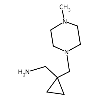 CN1CCN(CC2(CN)CC2)CC1